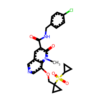 Cn1c(=O)c(C(=O)NCc2ccc(Cl)cc2)cc2cncc(OCC3(S(=O)(=O)C4CC4)CC3)c21